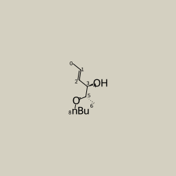 C/C=C/[C@@H](O)[C@H](C)OCCCC